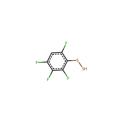 Fc1cc(F)c(SS)c(F)c1F